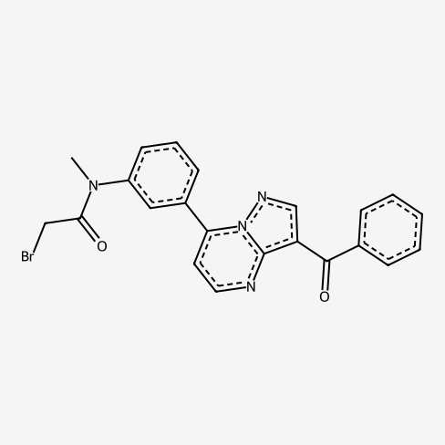 CN(C(=O)CBr)c1cccc(-c2ccnc3c(C(=O)c4ccccc4)cnn23)c1